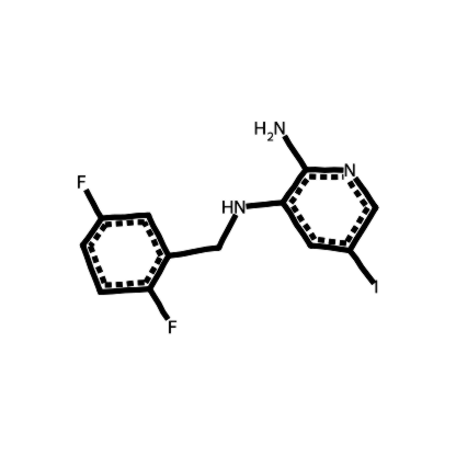 Nc1ncc(I)cc1NCc1cc(F)ccc1F